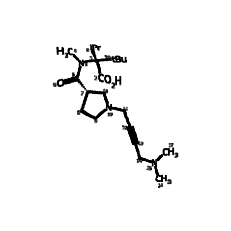 CC(C)[C@@](C(=O)O)(N(C)C(=O)[C@H]1CCN(CC#CCN(C)C)C1)C(C)(C)C